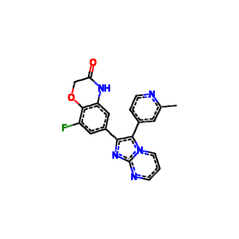 Cc1cc(-c2c(-c3cc(F)c4c(c3)NC(=O)CO4)nc3ncccn23)ccn1